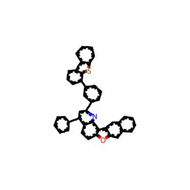 c1ccc(-c2cc(-c3cccc(-c4cccc5c4sc4ccccc45)c3)nc3c2ccc2oc4cc5ccccc5cc4c23)cc1